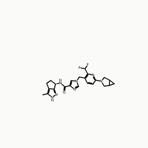 Cc1[nH]nc2c1CC[C@H]2NC(=O)c1cn(Cc2ccc(N3CC4CC4C3)nc2C(F)F)cn1